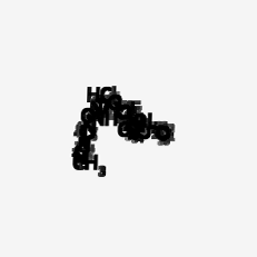 CN1CCN(C2CCN(C(=O)Nc3cc(Oc4ccc(NC(=O)C5(C(=O)OCc6ccccc6)CC5)c(F)c4)ccn3)CC2)CC1.Cl